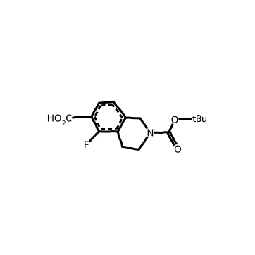 CC(C)(C)OC(=O)N1CCc2c(ccc(C(=O)O)c2F)C1